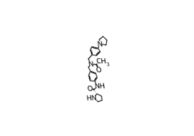 CC(=O)N(Cc1ccc(NC(=O)[C@@H]2CCCN2)cc1)Cc1ccc(N2CCCC2)cc1